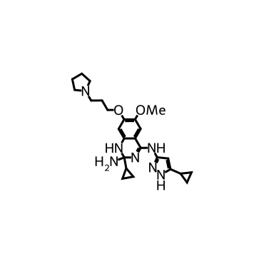 COc1cc2c(cc1OCCCN1CCCC1)NC(N)(C1CC1)N=C2Nc1cc(C2CC2)[nH]n1